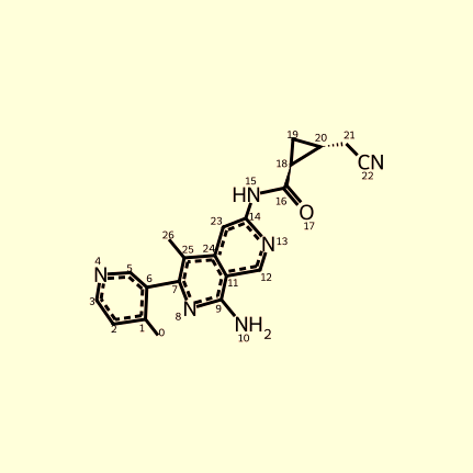 Cc1ccncc1-c1nc(N)c2cnc(NC(=O)[C@H]3C[C@@H]3CC#N)cc2c1C